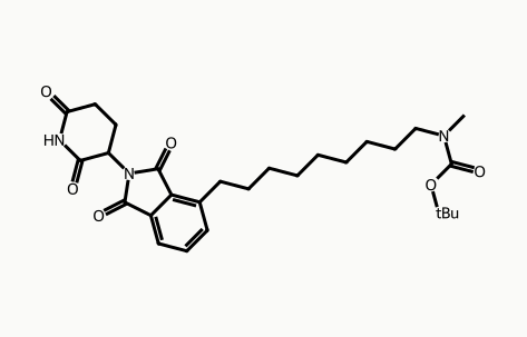 CN(CCCCCCCCCc1cccc2c1C(=O)N(C1CCC(=O)NC1=O)C2=O)C(=O)OC(C)(C)C